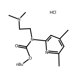 CCCCOC(=O)N(CCN(C)C)c1cc(C)cc(C)n1.Cl